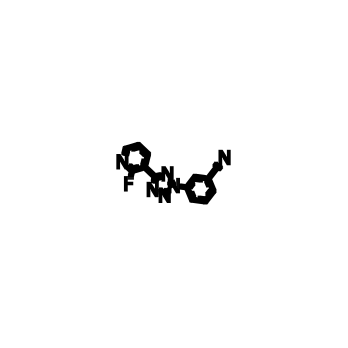 N#Cc1cccc(-n2nnc(-c3cccnc3F)n2)c1